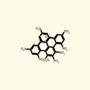 O=[N+]([O-])c1cc([N+](=O)[O-])c(-c2c(-c3c([N+](=O)[O-])cc([N+](=O)[O-])cc3[N+](=O)[O-])c([N+](=O)[O-])c([N+](=O)[O-])c([N+](=O)[O-])c2-c2c([N+](=O)[O-])cc([N+](=O)[O-])cc2[N+](=O)[O-])c([N+](=O)[O-])c1